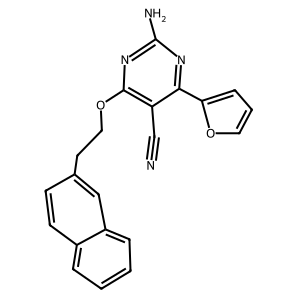 N#Cc1c(OCCc2ccc3ccccc3c2)nc(N)nc1-c1ccco1